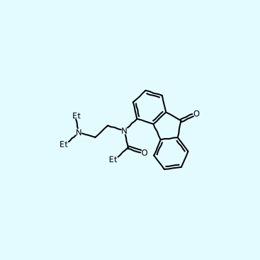 CCC(=O)N(CCN(CC)CC)c1cccc2c1-c1ccccc1C2=O